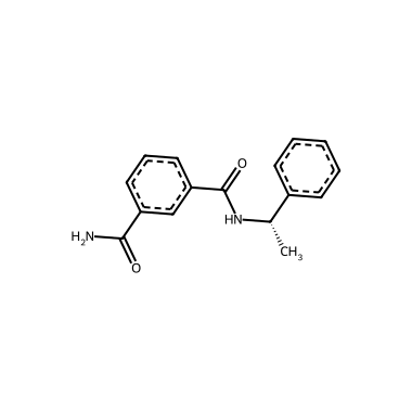 C[C@H](NC(=O)c1cccc(C(N)=O)c1)c1ccccc1